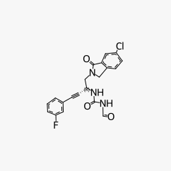 O=CNC(=O)N[C@H](C#Cc1cccc(F)c1)CN1Cc2ccc(Cl)cc2C1=O